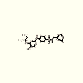 C[C@H](CO)Nc1nc(Nc2ccc(S(=O)(=O)NCc3ccncc3)cc2)ncc1Br